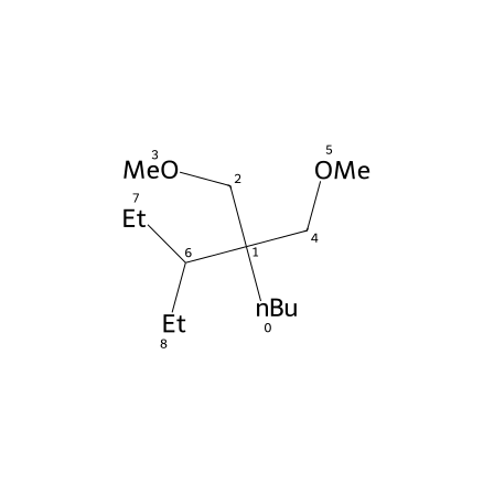 CCCCC(COC)(COC)C(CC)CC